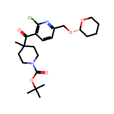 CC(C)(C)OC(=O)N1CCC(C)(C(=O)c2ccc(CO[C@H]3CCCCO3)nc2Cl)CC1